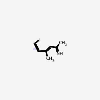 CC(=N)C=C(C)/C=C\I